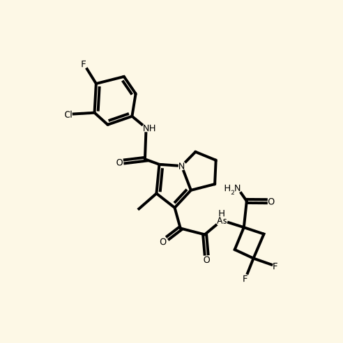 Cc1c(C(=O)C(=O)[AsH]C2(C(N)=O)CC(F)(F)C2)c2n(c1C(=O)Nc1ccc(F)c(Cl)c1)CCC2